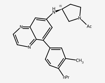 CCCc1ccc(-c2cc(N[C@H]3CCN(C(C)=O)C3)cc3nccnc23)cc1C